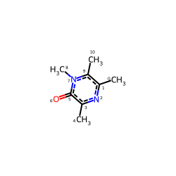 Cc1nc(C)c(=O)n(C)c1C